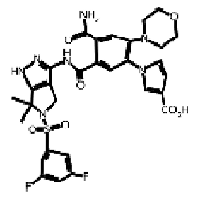 CC1(C)c2[nH]nc(NC(=O)c3cc(-n4ccc(C(=O)O)c4)c(N4CCOCC4)cc3C(N)=O)c2CN1S(=O)(=O)c1cc(F)cc(F)c1